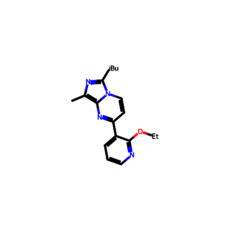 CCOc1ncccc1-c1ccn2c(C(C)CC)nc(C)c2n1